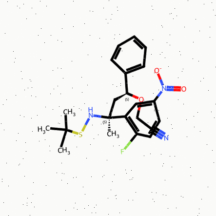 CC(C)(C)SN[C@@](C)(C[C@H](OCC#N)c1ccccc1)c1cc([N+](=O)[O-])ccc1F